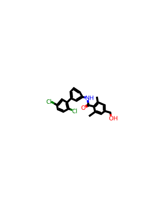 Cc1cc(CO)cc(C)c1C(=O)Nc1cccc(-c2cc(Cl)ccc2Cl)c1